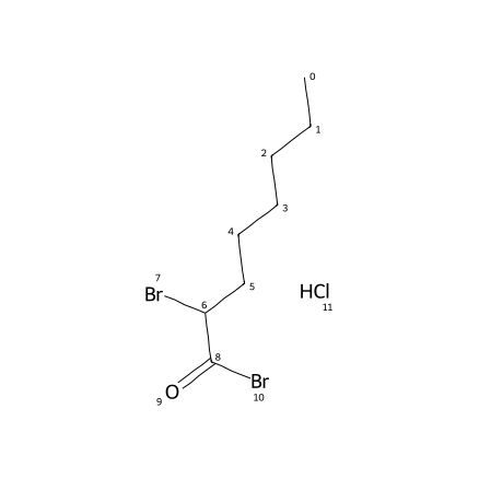 CCCCCCC(Br)C(=O)Br.Cl